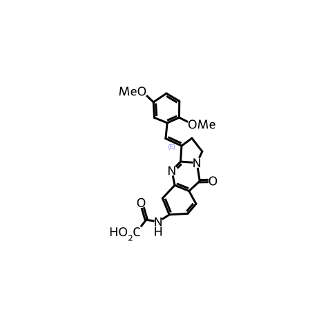 COc1ccc(OC)c(/C=C2\CCn3c2nc2cc(NC(=O)C(=O)O)ccc2c3=O)c1